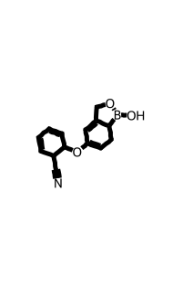 N#CC1C=CC=CC1OC1=CCC2B(O)OCC2=C1